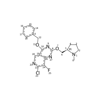 CN1CCC[C@@H]1COc1nc(OCc2ccccc2)c2cnc(Cl)c(F)c2n1